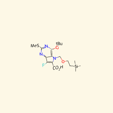 CSc1nc(OC(C)(C)C)c2c(n1)c(F)c(C(=O)O)n2COCC[Si](C)(C)C